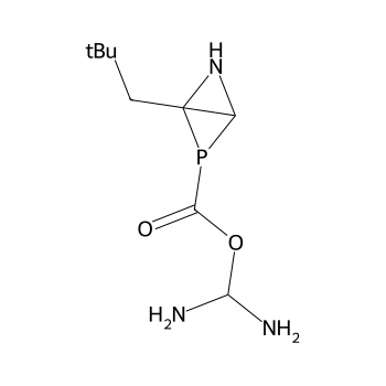 CC(C)(C)CC12NC1P2C(=O)OC(N)N